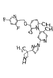 Cc1cnc(-n2ccc(C3(C)CNC3)n2)cc1-n1c(C)ccc(OCc2ncc(F)cc2F)c1=O